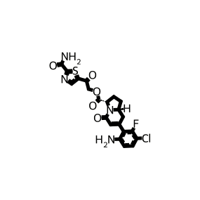 NC(=O)c1ncc(C(=O)COC(=O)[C@@H]2CC[C@@H]3CC(c4c(N)ccc(Cl)c4F)=CC(=O)N32)s1